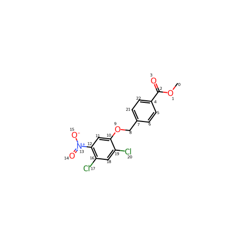 COC(=O)c1ccc(COc2cc([N+](=O)[O-])c(Cl)cc2Cl)cc1